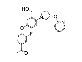 CC(=O)c1ccc(Oc2ccc(N3CC[C@H](Oc4ccccn4)C3)c(CO)c2)c(F)c1